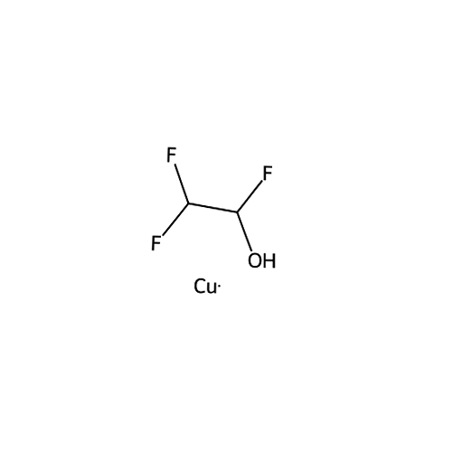 OC(F)C(F)F.[Cu]